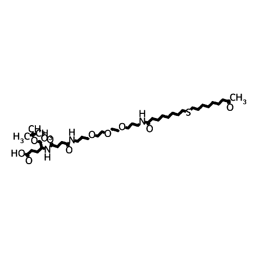 CC(=O)CCCCCCCSCCCCCCCC(=O)NCCCOCCOCCOCCCNC(=O)CCC(=O)NC(CCC(=O)O)C(=O)OC(C)(C)C